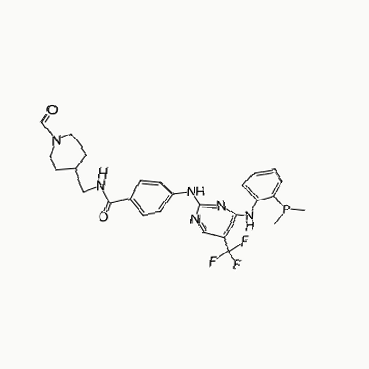 CP(C)c1ccccc1Nc1nc(Nc2ccc(C(=O)NCC3CCN(C=O)CC3)cc2)ncc1C(F)(F)F